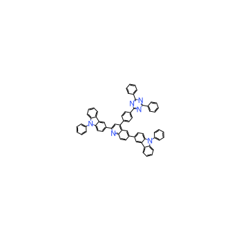 c1ccc(-c2nc(-c3ccccc3)nc(-c3ccc(-c4cc(-c5ccc6c(c5)c5ccccc5n6-c5ccccc5)nc5ccc(-c6ccc7c(c6)c6ccccc6n7-c6ccccc6)cc45)cc3)n2)cc1